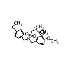 COc1ccc(CN(Cc2ccc(OC)cc2)S(=O)(=O)C[C@@H](C)C2(C)C=[C]C2)cc1